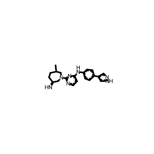 CC1CCC(=N)CN(c2nccc(Nc3ccc(-c4cn[nH]c4)cc3)n2)C1